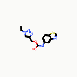 CCn1cc(COC(O)Nc2ccc3scnc3c2)nn1